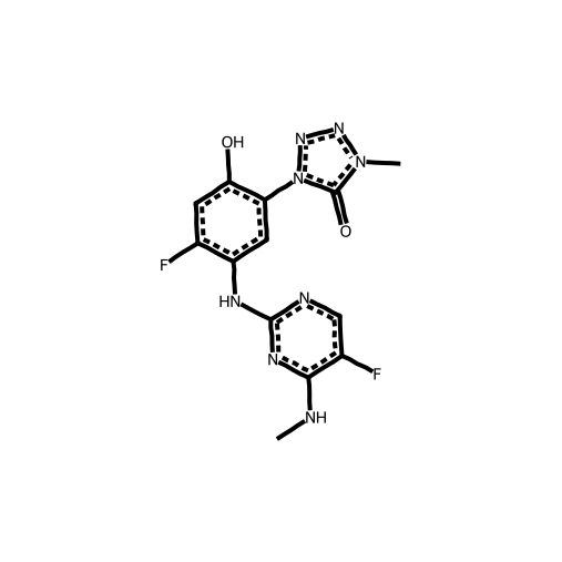 CNc1nc(Nc2cc(-n3nnn(C)c3=O)c(O)cc2F)ncc1F